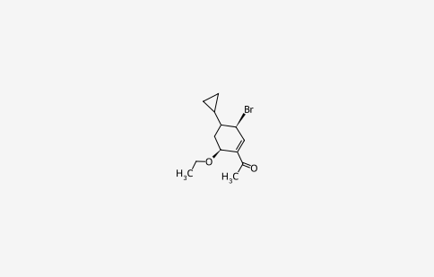 CCO[C@H]1CC(C2CC2)[C@@H](Br)C=C1C(C)=O